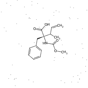 C=CC(C)[C@](Cc1ccccc1)(NC(=O)OC)C(=O)O